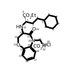 CCOC(=O)[C@H](CCC1CCCCC1)NC1COc2ccccc2N(CC(=O)O)C1=O.Cl